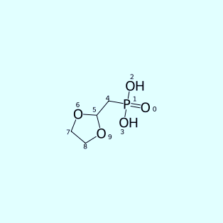 O=P(O)(O)CC1OCCO1